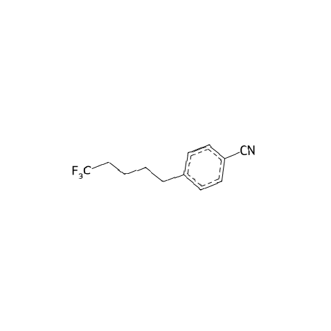 N#Cc1ccc(CCCCC(F)(F)F)cc1